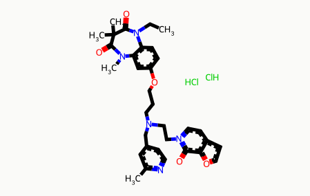 CCN1C(=O)C(C)(C)C(=O)N(C)c2cc(OCCCN(CCn3ccc4ccoc4c3=O)Cc3ccnc(C)c3)ccc21.Cl.Cl